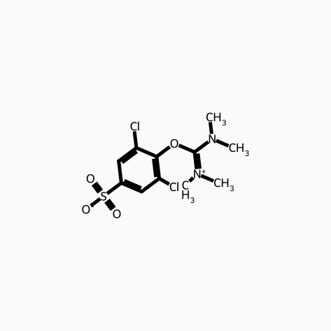 CN(C)C(Oc1c(Cl)cc(S(=O)(=O)[O-])cc1Cl)=[N+](C)C